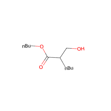 CCCCOC(=O)C(CO)CCCC